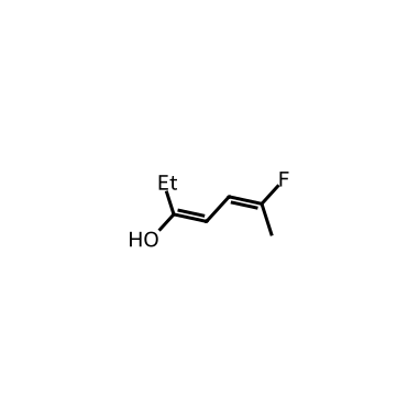 CC/C(O)=C\C=C(/C)F